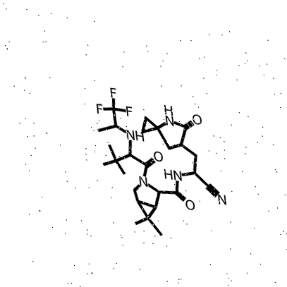 CC(NC(C(=O)N1CC2C(C1C(=O)NC(C#N)CC1CC3(CC3)NC1=O)C2(C)C)C(C)(C)C)C(F)(F)F